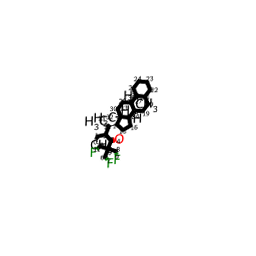 CCC(C(=O)C(CF)(CF)CF)C(C)[C@H]1CC[C@H]2[C@@H]3CCC4CCCC[C@]4(C)[C@H]3CC[C@]12C